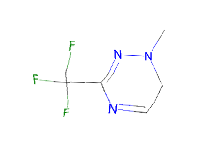 CN1CC=NC(C(F)(F)F)=N1